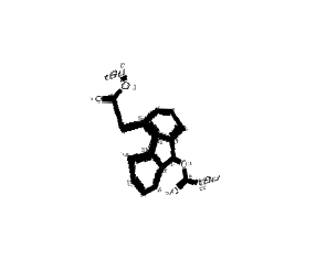 CC(C)(C)OC(=O)Cc1cccc2c1-c1ccccc1C2OC(=O)C(C)(C)C